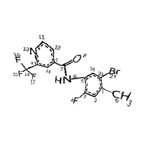 Cc1cc(F)c(NC(=O)c2ccnc(C(F)(F)F)c2)cc1Br